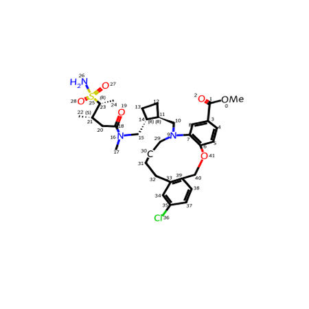 COC(=O)c1ccc2c(c1)N(C[C@@H]1CC[C@H]1CN(C)C(=O)C[C@H](C)[C@@H](C)S(N)(=O)=O)CCCCc1cc(Cl)ccc1CO2